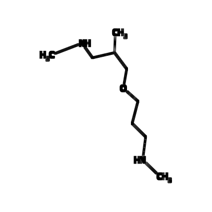 CNCCCOCC(C)CNC